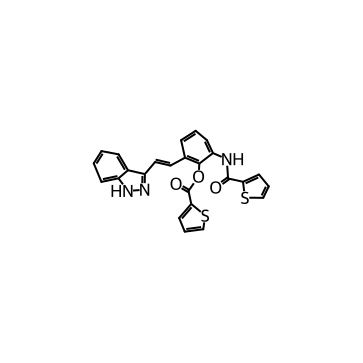 O=C(Nc1cccc(/C=C/c2n[nH]c3ccccc23)c1OC(=O)c1cccs1)c1cccs1